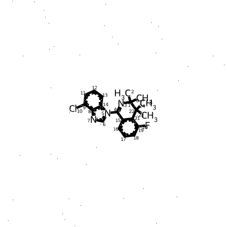 CC1(C)N=C(n2cnc3c(Cl)cccc32)c2cccc(F)c2C1(C)C